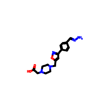 NN=Cc1ccc(-c2cc(CN3CCN(CC(=O)O)CC3)on2)cc1